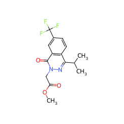 COC(=O)Cn1nc(C(C)C)c2ccc(C(F)(F)F)cc2c1=O